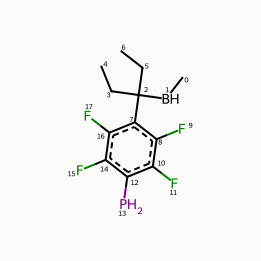 CBC(CC)(CC)c1c(F)c(F)c(P)c(F)c1F